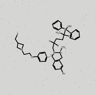 CC(=O)c1ccc2c(c1)C[C@H](C)N(CC(F)(F)CCC(C)(C)[Si](O)(c1ccccc1)c1ccccc1)[C@H]2c1ccc(OCCN2CC(CF)C2)cc1